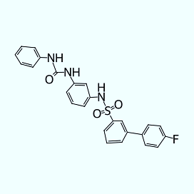 O=C(Nc1ccccc1)Nc1cccc(NS(=O)(=O)c2cccc(-c3ccc(F)cc3)c2)c1